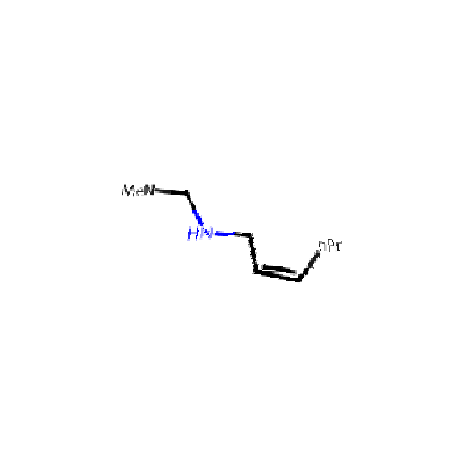 CCC/C=C\CNCNC